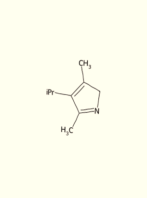 CC1=NCC(C)=C1C(C)C